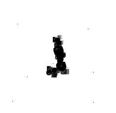 CC(Br)C(Br)COc1cc(C=CS(=O)(=O)c2ccc(OC(F)C(F)F)cc2)ccc1O